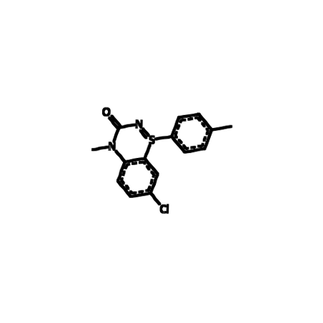 Cc1ccc(S2=NC(=O)N(C)c3ccc(Cl)cc32)cc1